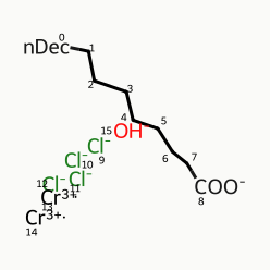 CCCCCCCCCCCCCCCCCC(=O)[O-].[Cl-].[Cl-].[Cl-].[Cl-].[Cr+3].[Cr+3].[OH-]